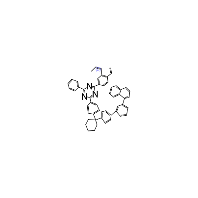 C=Cc1ccc(-c2nc(-c3ccccc3)nc(-c3ccc(C4(c5ccc(-c6cccc(-c7cccc8ccccc78)c6)cc5)CCCCC4)cc3)n2)cc1/C=C\C